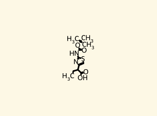 CCC(C(=O)O)c1csc(NC(=O)OC(C)(C)C)n1